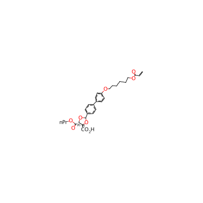 C=CC(=O)OCCCCCCOc1ccc(-c2ccc(C3O[C@@H](C(=O)O)[C@H](C(=O)OCCC)O3)cc2)cc1